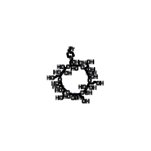 CC(C)N1CCN(CCC2OC(O)/C(O)=C(\O)C(CCO)OC(O)/C(O)=C(/O)C(CCO)O[C@H](O)/C(O)=C(/O)C(CCO)OC(O)/C(O)=C(\O)C(CCO)OC(O)/C(O)=C(/O)C(CCO)OC(O)/C(O)=C/2O)CC1